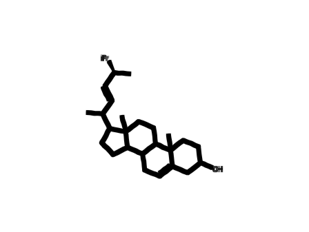 CC(/C=C/[C@H](C)C(C)C)C1CCC2C3CC=C4CC(O)CCC4(C)C3CCC12C